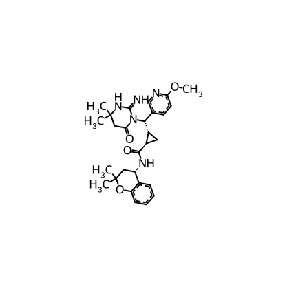 COc1ccc(C([C@@H]2C[C@H]2C(=O)N[C@H]2CC(C)(C)Oc3ccccc32)N2C(=N)NC(C)(C)CC2=O)cn1